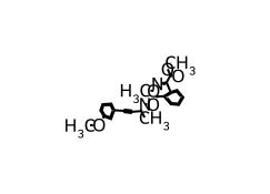 CO/N=C(/C(=O)OC)c1ccccc1CO/N=C(\C)C#Cc1cccc(OC)c1